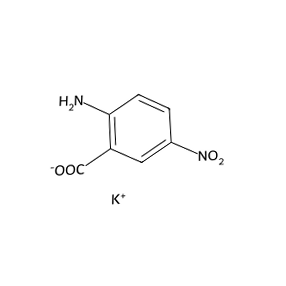 Nc1ccc([N+](=O)[O-])cc1C(=O)[O-].[K+]